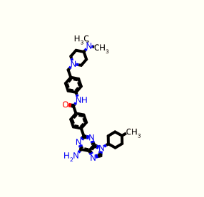 CC1CCC(n2cnc3c(N)nc(-c4ccc(C(=O)Nc5ccc(CN6CCC(N(C)C)CC6)cc5)cc4)nc32)CC1